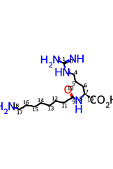 N=C(N)NCCC[C@H](NC(=O)CCCCCCCN)C(=O)O